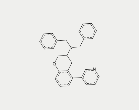 c1ccc(CN(Cc2ccccc2)C2COc3cccc(-c4cccnc4)c3C2)cc1